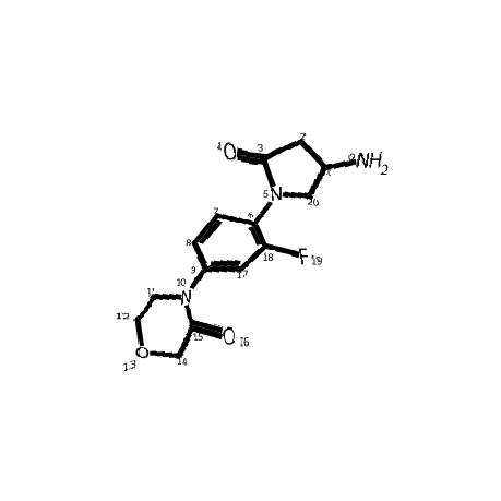 NC1CC(=O)N(c2ccc(N3CCOCC3=O)cc2F)C1